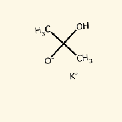 CC(C)([O-])O.[K+]